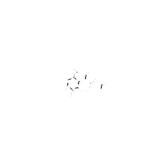 CC(=O)NC1COc2c(C)c(F)cc(N)c2C1=O